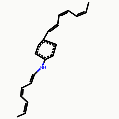 C\C=C/C=C\C=C\Nc1ccc(/C=C/C=C\C=C/C)cc1